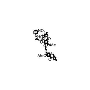 C=C1CC2C=Nc3cc(OCCCOc4cc5c(cc4OC)C(=O)N4CC(=C)C[C@H]4C(O)N5C(=O)OCC(C)SSc4cc([N+](=O)[O-])ccn4)c(OC)cc3C(=O)N2C1